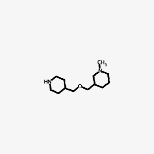 CN1CCCC(COCC2CCNCC2)C1